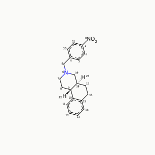 O=[N+]([O-])c1ccc(CN2CC[C@H]3c4ccccc4CC[C@@H]3C2)cc1